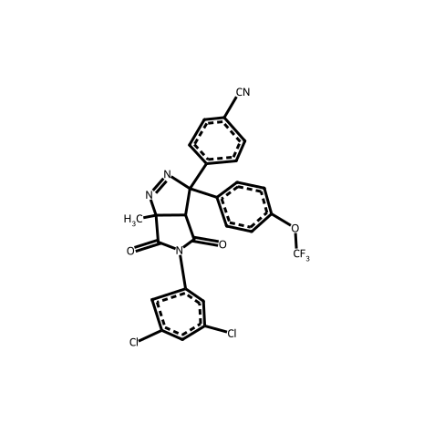 CC12N=NC(c3ccc(C#N)cc3)(c3ccc(OC(F)(F)F)cc3)C1C(=O)N(c1cc(Cl)cc(Cl)c1)C2=O